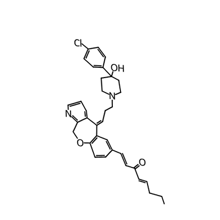 CCC/C=C/C(=O)/C=C/c1ccc2c(c1)/C(=C/CCN1CCC(O)(c3ccc(Cl)cc3)CC1)c1cccnc1CO2